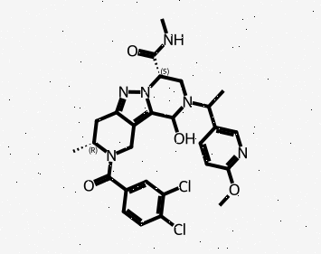 CNC(=O)[C@@H]1CN(C(C)c2ccc(OC)nc2)C(O)c2c3c(nn21)C[C@@H](C)N(C(=O)c1ccc(Cl)c(Cl)c1)C3